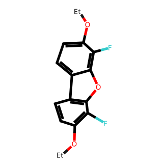 CCOc1ccc2c(oc3c(F)c(OCC)ccc32)c1F